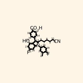 Cc1cc(-n2c(CCCCCC#N)c(-c3ccc(C(=O)O)cc3)c3c(O)cc(F)cc32)ccc1F